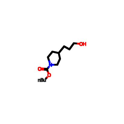 CCCCOC(=O)N1CCC(CCCO)CC1